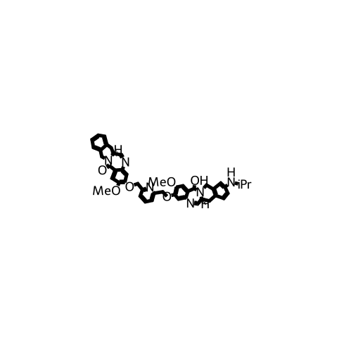 COc1cc2c(cc1OCc1cccc(COc3cc4c(cc3OC)C(O)N3Cc5cc(NC(C)C)ccc5C[C@H]3C=N4)n1)N=C[C@@H]1Cc3ccccc3CN1C2=O